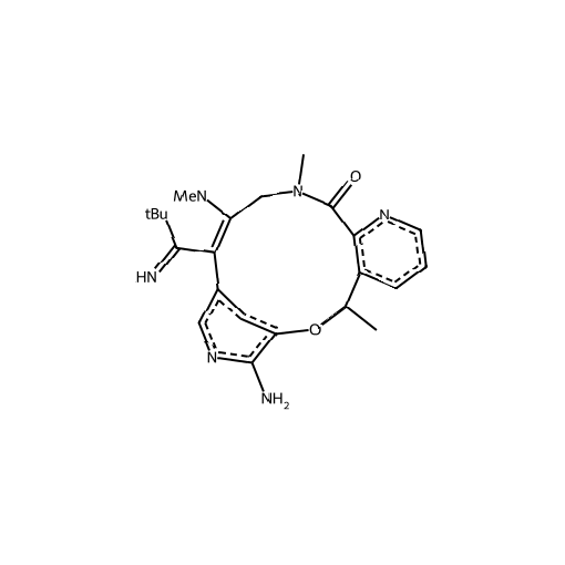 CN/C1=C(\C(=N)C(C)(C)C)c2cnc(N)c(c2)OC(C)c2cccnc2C(=O)N(C)C1